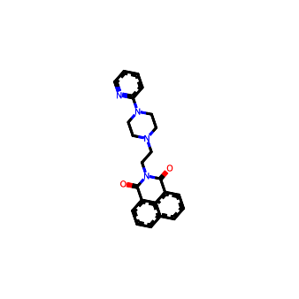 O=C1c2cccc3cccc(c23)C(=O)N1CCN1CCN(c2ccccn2)CC1